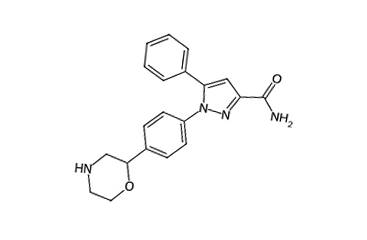 NC(=O)c1cc(-c2ccccc2)n(-c2ccc(C3CNCCO3)cc2)n1